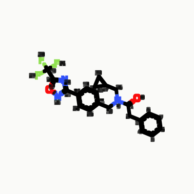 O=C(Cc1ccccc1)N(Cc1ccc(-c2noc(C(F)(F)F)n2)cc1)CC1CC1